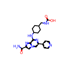 NC(=O)c1cn2cc(-c3ccncc3)nc(NC3CCC(CNC(=O)O)CC3)c2n1